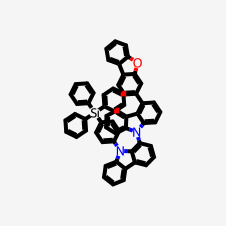 c1ccc([Si](c2ccccc2)(c2ccccc2)c2ccc(-n3c4ccccc4c4cccc(-n5c6ccccc6c6c(-c7ccc8c(c7)oc7ccccc78)cccc65)c43)cc2)cc1